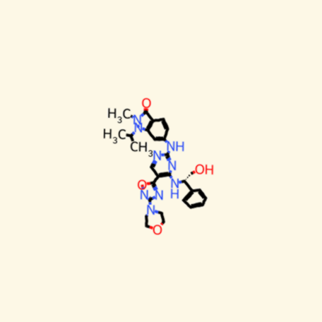 CC(C)n1c2cc(Nc3ncc(-c4nc(N5CCOCC5)no4)c(N[C@H](CO)c4ccccc4)n3)ccc2c(=O)n1C